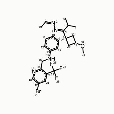 C/C=N\N=C(/C(C)C)[C@]1(c2cccc(NCc3ncc(Br)cc3C(F)(F)F)c2)C[C@H](OC)C1